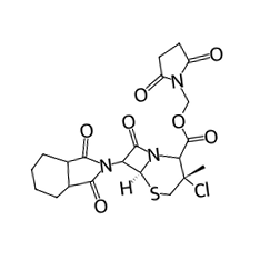 C[C@@]1(Cl)CS[C@H]2C(N3C(=O)C4CCCCC4C3=O)C(=O)N2C1C(=O)OCN1C(=O)CCC1=O